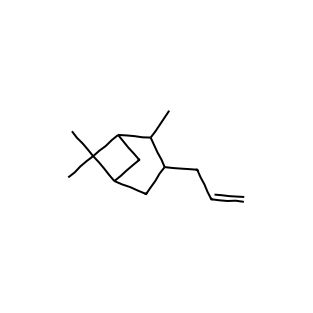 C=CCC1CC2CC(C1C)C2(C)C